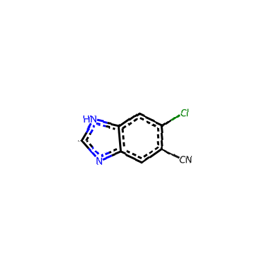 N#Cc1cc2n[c][nH]c2cc1Cl